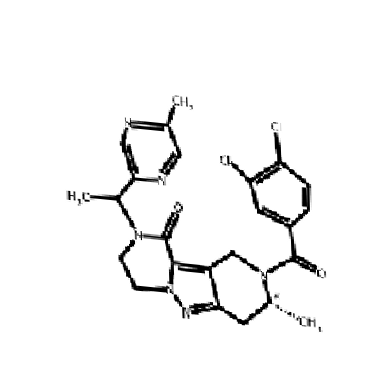 Cc1cnc(C(C)N2CCn3nc4c(c3C2=O)CN(C(=O)c2ccc(Cl)c(Cl)c2)[C@H](C)C4)cn1